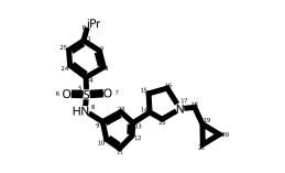 CC(C)c1ccc(S(=O)(=O)Nc2cccc(C3CCN(CC4CC4)C3)c2)cc1